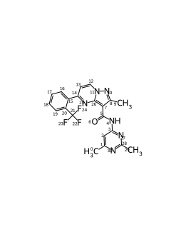 Cc1cc(NC(=O)c2c(C)nn3ccc(-c4ccccc4C(F)(F)F)nc23)nc(C)n1